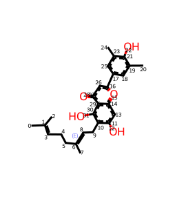 CC(C)=CCC/C(C)=C/Cc1c(O)cc2oc(-c3cc(C)c(O)c(C)c3)cc(=O)c2c1O